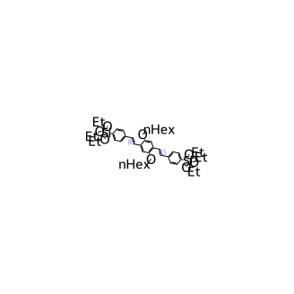 CCCCCCOc1cc(/C=C/c2ccc([Si](OCC)(OCC)OCC)cc2)c(OCCCCCC)cc1/C=C/c1ccc([Si](OCC)(OCC)OCC)cc1